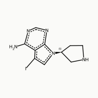 Nc1ncnc2c1c(I)cn2[C@H]1CCNC1